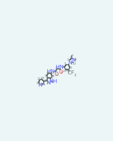 Cc1cn(-c2cc(NC(=O)CC(=O)Nc3ccc4c(-c5cccnc5)n[nH]c4c3)cc(C(F)(F)F)c2)cn1